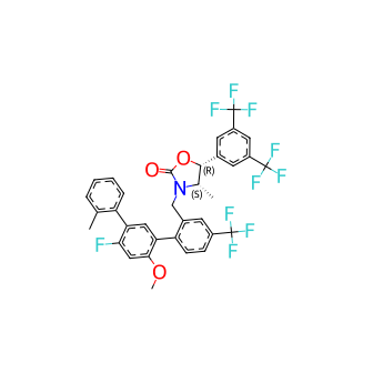 COc1cc(F)c(-c2ccccc2C)cc1-c1ccc(C(F)(F)F)cc1CN1C(=O)O[C@H](c2cc(C(F)(F)F)cc(C(F)(F)F)c2)[C@@H]1C